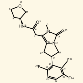 Cn1c(CC(=O)N[C@H]2CCOC2)c2n(c1=S)C[C@H](c1c(F)ccc(F)c1F)C2